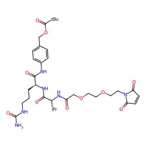 CC(C)C(NC(=O)COCCOCCN1C(=O)C=CC1=O)C(=O)N[C@@H](CCCNC(N)=O)C(=O)Nc1ccc(COC(=O)C(C)(C)C)cc1